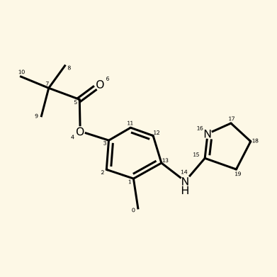 Cc1cc(OC(=O)C(C)(C)C)ccc1NC1=NCCC1